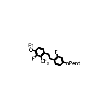 CCCCCc1ccc(CCc2ccc(OCC)c(F)c2C(F)(F)F)c(F)c1